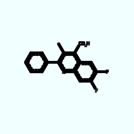 Cc1c(-c2ccccc2)nc2cc(F)c(F)cc2c1C(=O)O